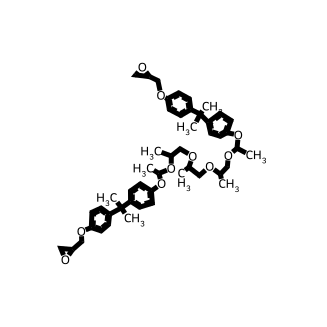 CC(COC(C)COC(C)Oc1ccc(C(C)(C)c2ccc(OCC3CO3)cc2)cc1)OCC(C)OC(C)Oc1ccc(C(C)(C)c2ccc(OCC3CO3)cc2)cc1